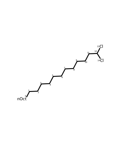 CCCCCCCCCCCCCCCCCCCC(Cl)Cl